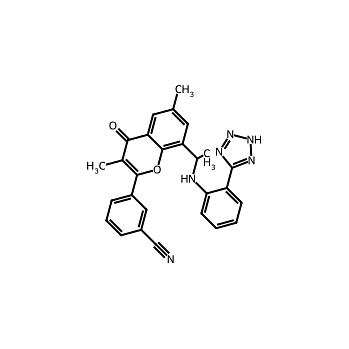 Cc1cc(C(C)Nc2ccccc2-c2nn[nH]n2)c2oc(-c3cccc(C#N)c3)c(C)c(=O)c2c1